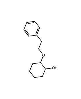 OC1CCCCC1OCCc1ccccc1